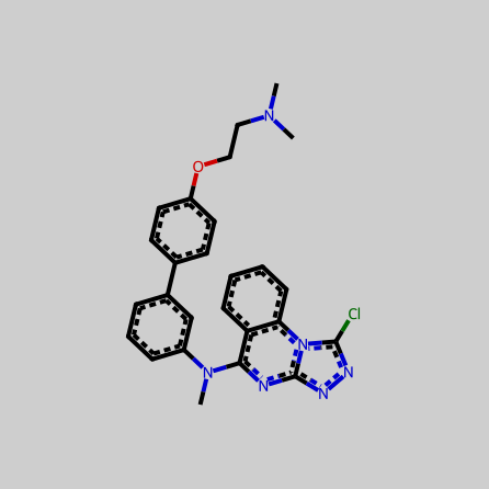 CN(C)CCOc1ccc(-c2cccc(N(C)c3nc4nnc(Cl)n4c4ccccc34)c2)cc1